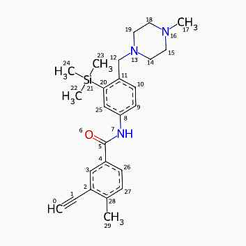 C#Cc1cc(C(=O)Nc2ccc(CN3CCN(C)CC3)c([Si](C)(C)C)c2)ccc1C